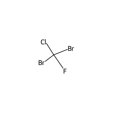 FC(Cl)(Br)Br